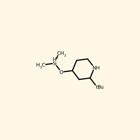 C[SiH](C)OC1CCNC(C(C)(C)C)C1